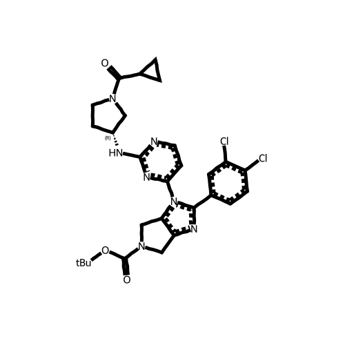 CC(C)(C)OC(=O)N1Cc2nc(-c3ccc(Cl)c(Cl)c3)n(-c3ccnc(N[C@@H]4CCN(C(=O)C5CC5)C4)n3)c2C1